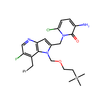 CC(C)Cc1c(F)cnc2cc(Cn3c(Cl)ccc(N)c3=O)n(COCC[Si](C)(C)C)c12